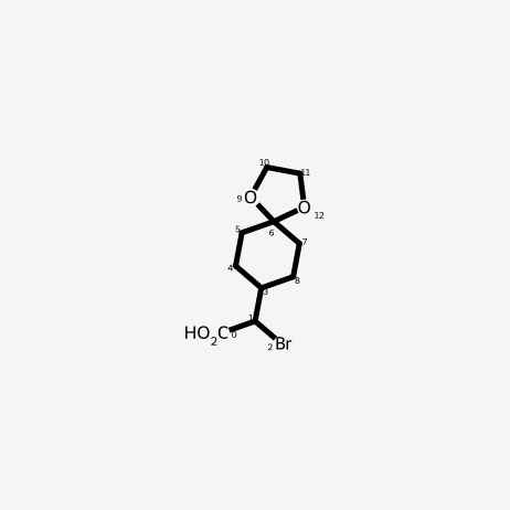 O=C(O)C(Br)C1CCC2(CC1)OCCO2